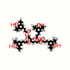 CC(C)(C)c1cc(CCC(=O)OCCCC(CC(CCOC(=O)CCc2cc(C(C)(C)C)c(O)c(C(C)(C)C)c2)OC(=O)CCc2cc(C(C)(C)C)c(O)c(C(C)(C)C)c2)OC(=O)CCc2cc(C(C)(C)C)c(O)c(C(C)(C)C)c2)cc(C(C)(C)C)c1O